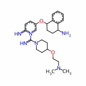 CN(C)CCOC1CCN(C(=N)n2cc(OC3CCC(N)c4ccccc43)ccc2=N)CC1